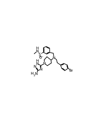 CN[S+]([O-])c1cccc(CN(CCc2ccc(Br)cc2)C2CCN(c3nc(N)n[nH]3)CC2)c1